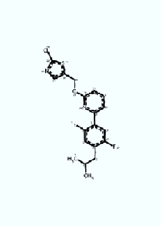 C[C](C)Cc1cc(F)c(-c2cccc(OCc3cnc(Cl)s3)n2)cc1F